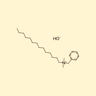 CCCCCCCCCCCCCC[N+](C)(C)Cc1ccccc1.[OH-]